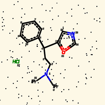 CC(C)N(CCC(c1ccccc1)c1cnco1)C(C)C.Cl